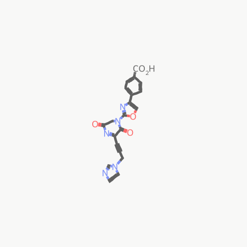 O=C1CN(c2nc(-c3ccc(C(=O)O)cc3)co2)C(=O)C(C#CCn2ccnc2)=N1